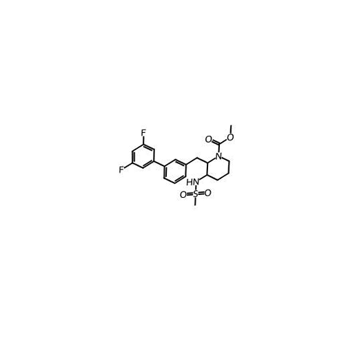 COC(=O)N1CCCC(NS(C)(=O)=O)C1Cc1cccc(-c2cc(F)cc(F)c2)c1